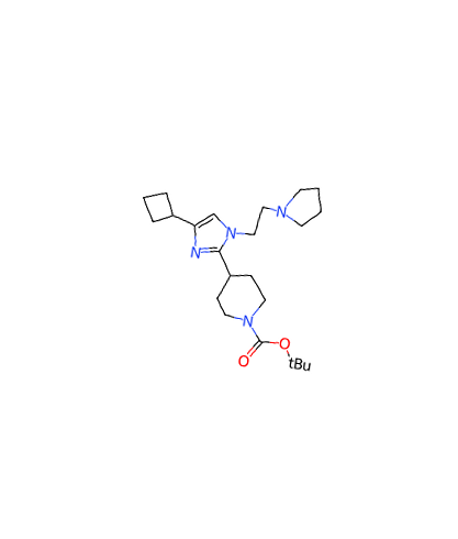 CC(C)(C)OC(=O)N1CCC(c2nc(C3CCC3)cn2CCN2CCCC2)CC1